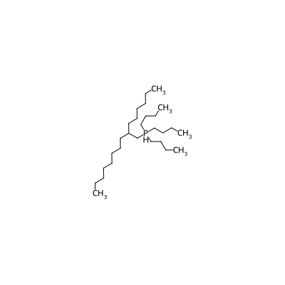 CCCCCCCCC(CCCCCC)C[PH](CCCC)(CCCC)CCCC